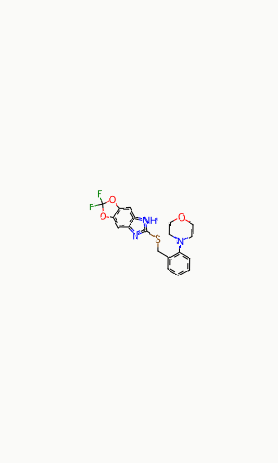 FC1(F)Oc2cc3nc(SCc4ccccc4N4CCOCC4)[nH]c3cc2O1